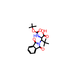 CC(C)(C)OC(=O)NC(C(=O)O)C(N1C(=O)c2ccccc2C1=O)C(C)(C)C